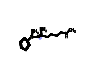 CNCCCC/C(N)=C/N(N)c1ccccc1